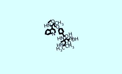 CC1(C)CC(CC(=O)NO)(NC(=O)c2ccc(OCC3(C)OCCNC3c3ccnc4ccccc34)cc2)CN1